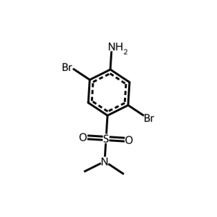 CN(C)S(=O)(=O)c1cc(Br)c(N)cc1Br